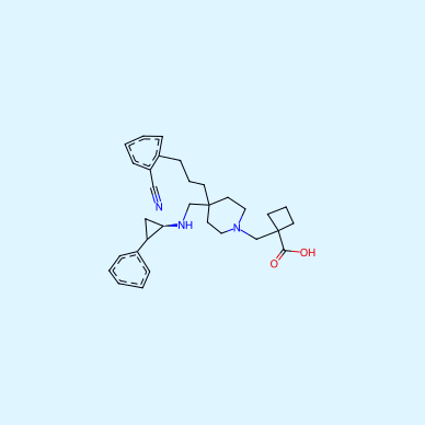 N#Cc1ccccc1CCCC1(CN[C@@H]2CC2c2ccccc2)CCN(CC2(C(=O)O)CCC2)CC1